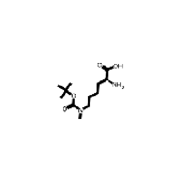 CN(CCCC[C@H](N)C(=O)O)C(=O)OC(C)(C)C